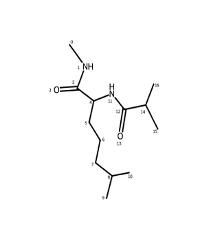 CNC(=O)C(CCCC(C)C)NC(=O)C(C)C